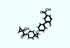 O=C(O)c1ccc(F)c(-c2ccc([C@@H]3CC34CCN(C(=O)C3(O)CC3)CC4)cc2)c1